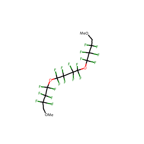 COCC(F)(F)C(F)(F)C(F)(F)OC(F)(F)C(F)(F)C(F)(F)C(F)(F)OC(F)(F)C(F)(F)C(F)(F)COC